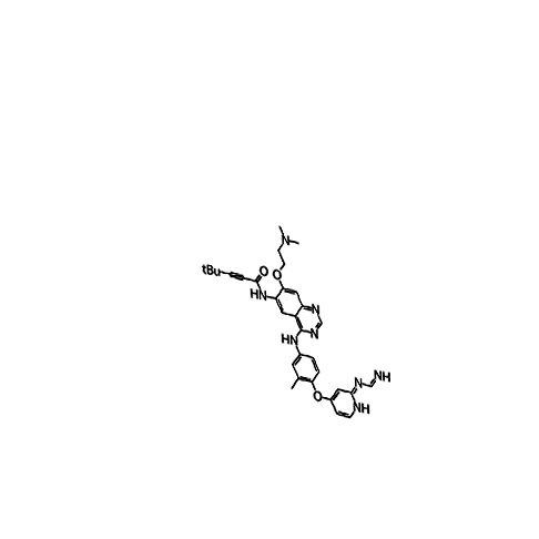 Cc1cc(Nc2ncnc3cc(OCCN(C)C)c(NC(=O)C#CC(C)(C)C)cc23)ccc1Oc1cc[nH]/c(=N\C=N)c1